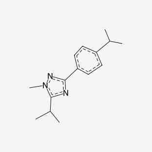 CC(C)c1ccc(-c2nc(C(C)C)n(C)n2)cc1